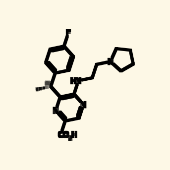 C[C@H](c1ccc(F)cc1)c1nc(C(=O)O)cnc1NCCN1CCCC1